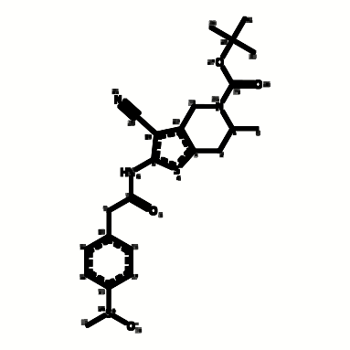 CC1Cc2sc(NC(=O)Cc3ccc([S+](C)[O-])cc3)c(C#N)c2CN1C(=O)OC(C)(C)C